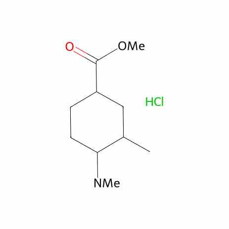 CNC1CCC(C(=O)OC)CC1C.Cl